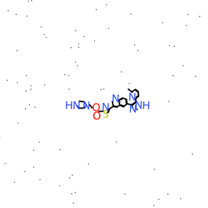 Cc1cccc(-c2[nH]cnc2-c2ccc3ncc(-c4csc(C(=O)OCCN5CCNCC5)n4)cc3c2)n1